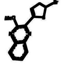 COc1nc2ccccc2nc1C1=CCC(Br)S1